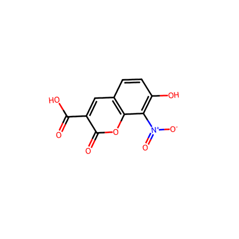 O=C(O)c1cc2ccc(O)c([N+](=O)[O-])c2oc1=O